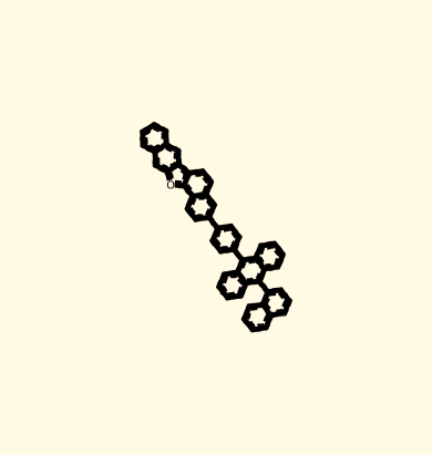 c1ccc2cc3c(cc2c1)oc1c2ccc(-c4ccc(-c5c6ccccc6c(-c6cccc7ccccc67)c6ccccc56)cc4)cc2ccc31